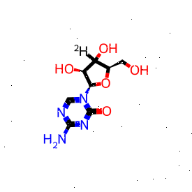 [2H]C1(O)[C@H](O)[C@H](n2cnc(N)nc2=O)O[C@@H]1CO